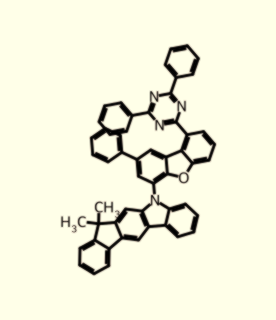 CC1(C)c2ccccc2-c2cc3c4ccccc4n(-c4cc(-c5ccccc5)cc5c4oc4cccc(-c6nc(-c7ccccc7)nc(-c7ccccc7)n6)c45)c3cc21